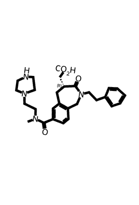 CN(CCN1CCNCC1)C(=O)c1ccc2c(c1)C[C@H](CC(=O)O)C(=O)N(CCc1ccccc1)C2